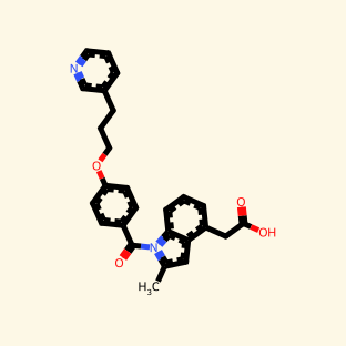 Cc1cc2c(CC(=O)O)cccc2n1C(=O)c1ccc(OCCCc2cccnc2)cc1